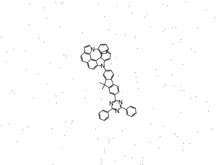 CC1(C)c2cc(-c3nc(-c4ccccc4)nc(-c4ccccc4)n3)ccc2-c2ccc(-n3c4ccccc4c4c5c(ccc6ccn(-c7ccccc7)c65)ccc43)cc21